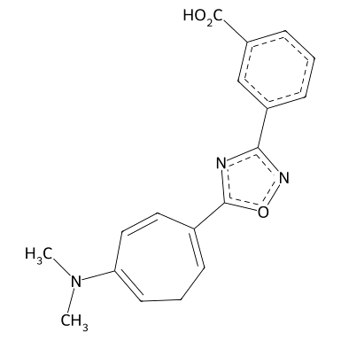 CN(C)C1=CCC=C(c2nc(-c3cccc(C(=O)O)c3)no2)C=C1